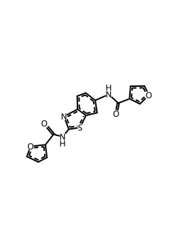 O=C(Nc1ccc2nc(NC(=O)c3ccco3)sc2c1)c1ccoc1